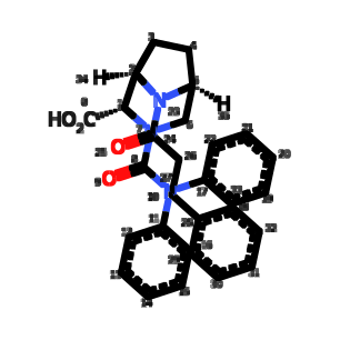 O=C(O)[C@@H]1[C@H]2CC[C@@H](CN1C(=O)N(c1ccccc1)c1ccccc1)N2C(=O)CCc1ccccc1